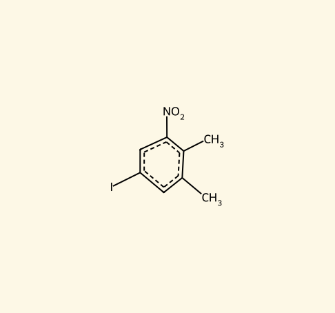 Cc1cc(I)cc([N+](=O)[O-])c1C